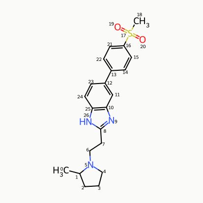 CC1CCCN1CCc1nc2cc(-c3ccc(S(C)(=O)=O)cc3)ccc2[nH]1